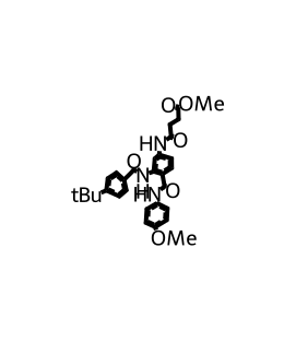 COC(=O)CCC(=O)Nc1ccc(C(=O)Nc2ccc(OC)cc2)c(NC(=O)c2ccc(C(C)(C)C)cc2)c1